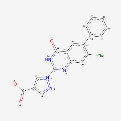 O=C(O)c1cnn(-c2nc3cc(Cl)c(-c4ccccc4)cc3c(=O)[nH]2)c1